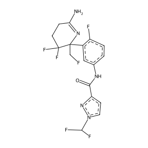 NC1=NC(CF)(c2cc(NC(=O)c3ccn(C(F)F)n3)ccc2F)C(F)(F)CC1